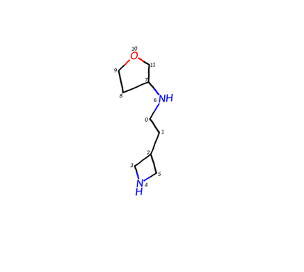 C(CC1CNC1)NC1CCOC1